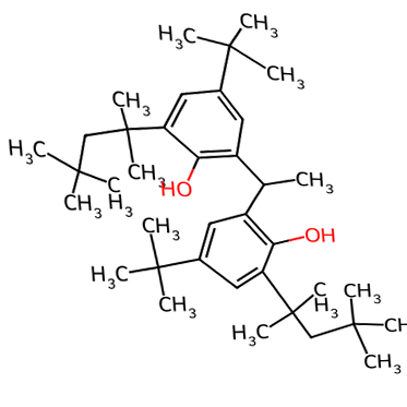 CC(c1cc(C(C)(C)C)cc(C(C)(C)CC(C)(C)C)c1O)c1cc(C(C)(C)C)cc(C(C)(C)CC(C)(C)C)c1O